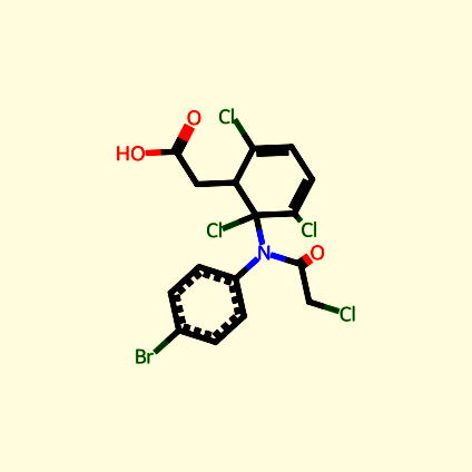 O=C(O)CC1C(Cl)=CC=C(Cl)C1(Cl)N(C(=O)CCl)c1ccc(Br)cc1